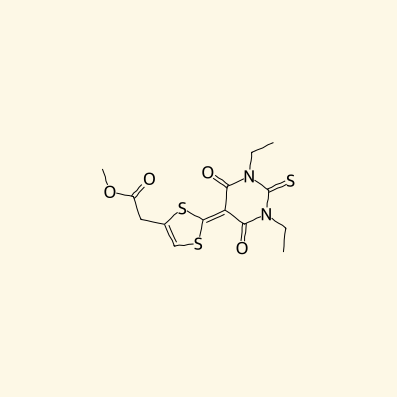 CCN1C(=O)C(=C2SC=C(CC(=O)OC)S2)C(=O)N(CC)C1=S